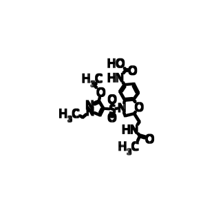 CCOc1nn(CC)cc1S(=O)(=O)N1CC(CNC(C)=O)Oc2ccc(NC(=O)O)cc21